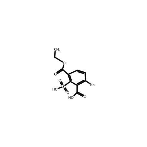 CCOC(=O)c1cc[c]([Na])c(C(=O)O)c1S(=O)(=O)O